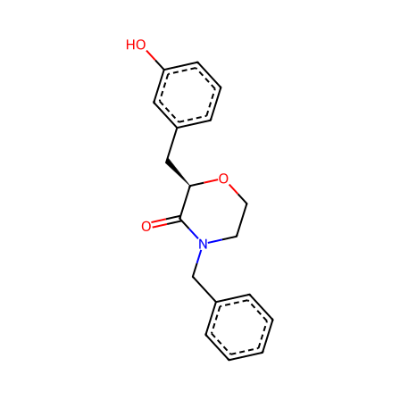 O=C1[C@@H](Cc2cccc(O)c2)OCCN1Cc1ccccc1